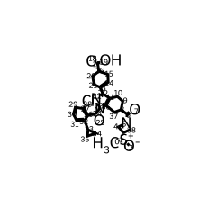 C[S+]([O-])C1CN(C(=O)C2CCc3c(C4=CCC(C(=O)O)CC4)nn(C(=O)c4c(Cl)cccc4C4CC4)c3C2)C1